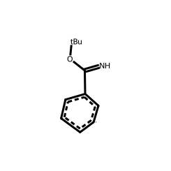 CC(C)(C)OC(=N)c1c[c]ccc1